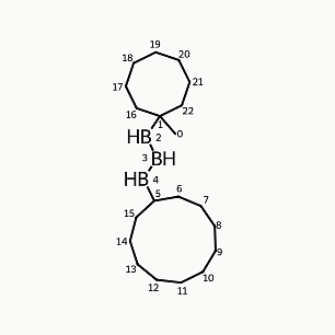 CC1(BBBC2CCCCCCCCCC2)CCCCCCC1